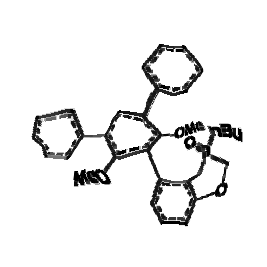 CCCCP1(=O)COc2cccc(-c3c(OC)c(-c4ccccc4)cc(-c4ccccc4)c3OC)c21